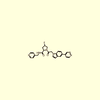 O=C(NCc1ccncc1)C1CC(F)CN1C(=O)Cn1ccc2cc(-c3ccnnc3)ccc21